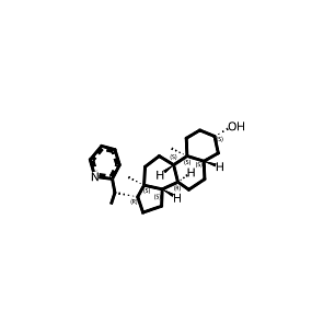 CC(c1ccccn1)[C@H]1CC[C@H]2[C@@H]3CC[C@H]4C[C@@H](O)CC[C@]4(C)[C@H]3CC[C@]12C